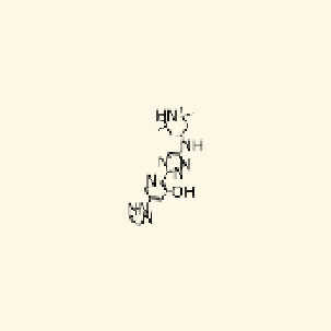 CC1(C)CC(Nc2cnc(-c3ncc(-n4nccn4)cc3O)nn2)CC(C)(C)N1